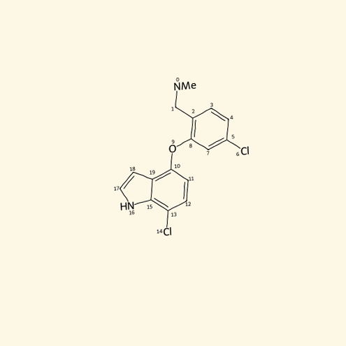 CNCc1ccc(Cl)cc1Oc1ccc(Cl)c2[nH]ccc12